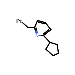 CC(C)Cc1cccc(C2CCCC2)n1